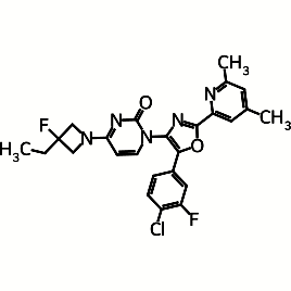 CCC1(F)CN(c2ccn(-c3nc(-c4cc(C)cc(C)n4)oc3-c3ccc(Cl)c(F)c3)c(=O)n2)C1